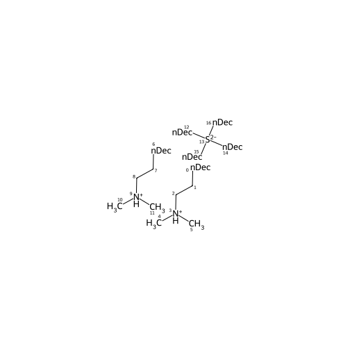 CCCCCCCCCCCC[NH+](C)C.CCCCCCCCCCCC[NH+](C)C.CCCCCCCCCC[S-2](CCCCCCCCCC)(CCCCCCCCCC)CCCCCCCCCC